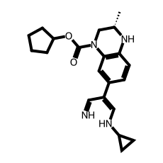 C[C@H]1CN(C(=O)OC2CCCC2)c2cc(/C(C=N)=C/NC3CC3)ccc2N1